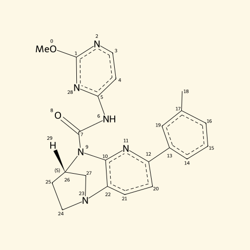 COc1nccc(NC(=O)N2c3nc(-c4cccc(C)c4)ccc3N3CC[C@H]2C3)n1